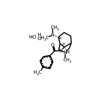 Cc1ccc(C(=O)O[C@@H]2C3CC[C@@H](N(C)C)C2CN(C)C3)cc1.Cl.Cl